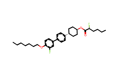 CCCCCCCOc1ccc(-c2ccc([C@H]3CC[C@H](OC(=O)[C@@H](F)CCCC)CC3)cc2)cc1F